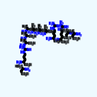 C[C@H](N)C(=O)O.C[C@H](N)C(=O)O.C[C@H](N)C(=O)O.C[C@H](N)C(=O)O.C[C@H](N)C(=O)O.C[C@H](N)C(=O)O.N=C(N)NCCC[C@H](N)C(=O)O.N=C(N)NCCC[C@H](N)C(=O)O.N=C(N)NCCC[C@H](N)C(=O)O.N[C@@H](CC(=O)O)C(=O)O.N[C@@H](CC(=O)O)C(=O)O.N[C@@H](CC(=O)O)C(=O)O